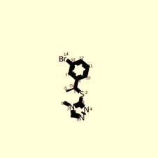 C[C@H](Sc1nncn1C)c1cccc(Br)c1